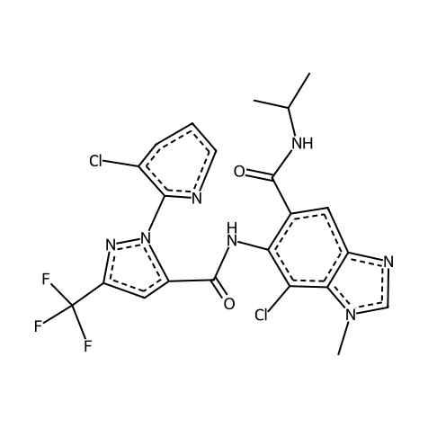 CC(C)NC(=O)c1cc2ncn(C)c2c(Cl)c1NC(=O)c1cc(C(F)(F)F)nn1-c1ncccc1Cl